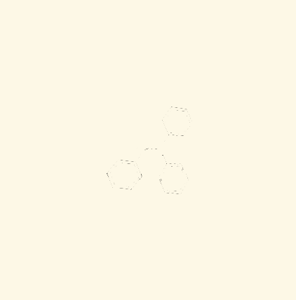 c1ccc([SiH2][SiH](c2ccccc2)c2ccccc2)cc1